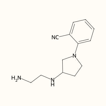 N#Cc1ccccc1N1CCC(NCCN)C1